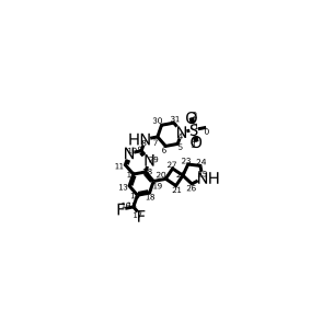 CS(=O)(=O)N1CCC(Nc2ncc3cc(C(F)F)cc(C4CC5(CCNC5)C4)c3n2)CC1